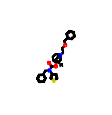 O=C(O[C@H]1C[N+]2(CCOCc3ccccc3)CCC1CC2)N(Cc1ccccc1)c1ccsc1